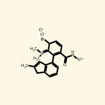 CC1=Cc2c(cccc2C2=C(C(=O)[NH][Ti+2])C=CC(Br)C2=[Si](C)C)C1.[Cl-].[Cl-]